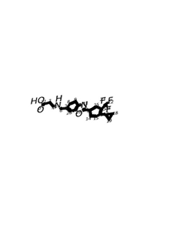 O=C(O)CCNCc1ccc2nc(-c3ccc(C4CC4)c(C(F)(F)F)c3)oc2c1